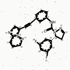 O=C(Nc1cccc(C#Cc2cnc3cccnn23)c1)N1N=CC[C@@H]1c1cc(F)cc(F)c1